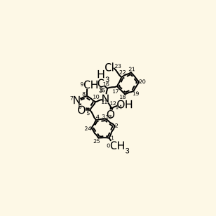 Cc1ccc(-c2onc(C)c2N(C(=O)O)C(C)c2ccccc2Cl)cc1